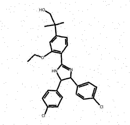 CCOc1cc(C(C)(C)CO)ccc1C1=NC(c2ccc(Cl)cc2)C(c2ccc(Cl)cc2)N1